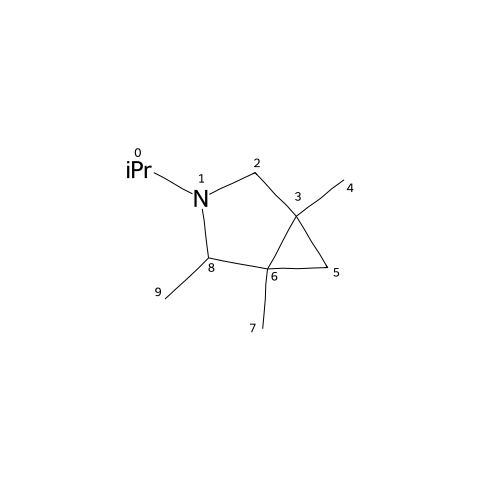 CC(C)N1CC2(C)CC2(C)C1C